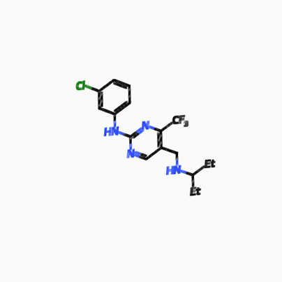 CCC(CC)NCc1cnc(Nc2cccc(Cl)c2)nc1C(F)(F)F